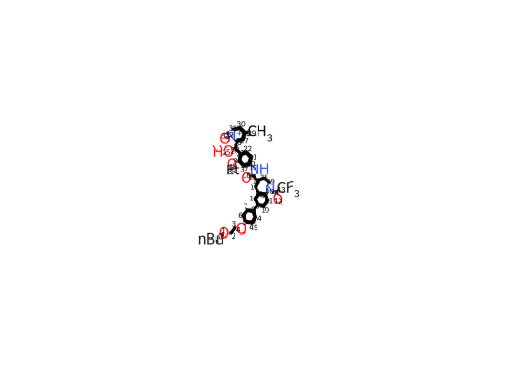 CCCCOCCOc1ccc(-c2ccc3c(c2)C=C(C(=O)Nc2ccc(C(O)c4cc(C)cc[n+]4[O-])c(OCC)c2)CCN3C(=O)C(F)(F)F)cc1